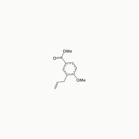 C=CCc1cc(C(=O)OC)ccc1OC